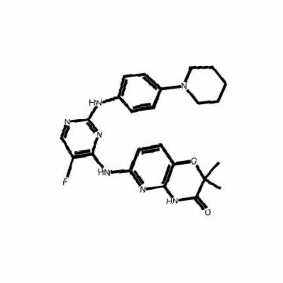 CC1(C)Oc2ccc(Nc3nc(Nc4ccc(N5CCCCC5)cc4)ncc3F)nc2NC1=O